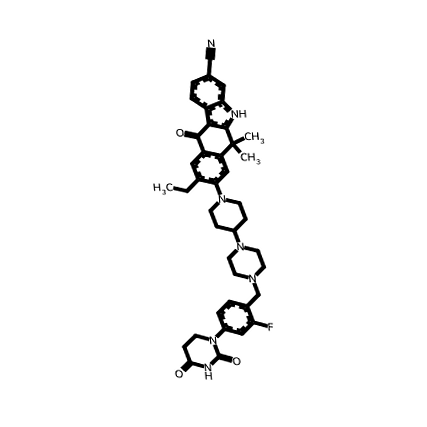 CCc1cc2c(cc1N1CCC(N3CCN(Cc4ccc(N5CCC(=O)NC5=O)cc4F)CC3)CC1)C(C)(C)c1[nH]c3cc(C#N)ccc3c1C2=O